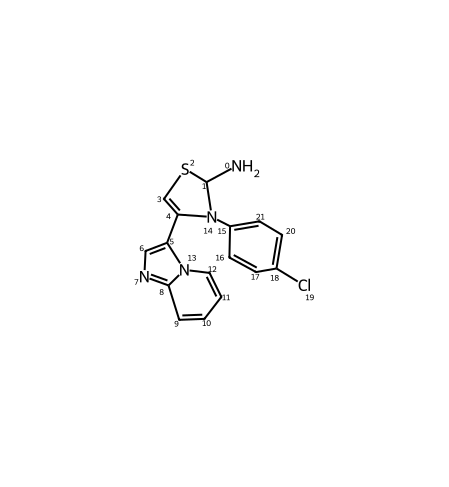 NC1SC=C(c2cnc3ccccn23)N1c1ccc(Cl)cc1